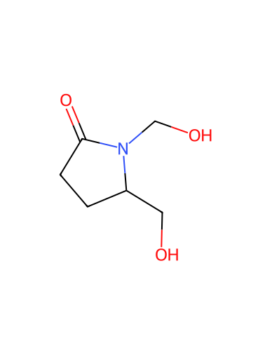 O=C1CCC(CO)N1CO